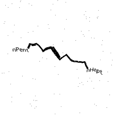 [CH2]CCCCCCCCC/C=C/C/C=C\CCCCC